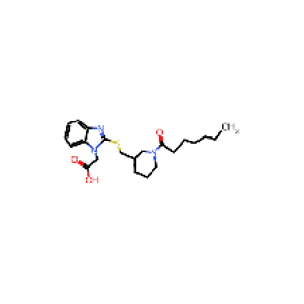 CCCCCCC(=O)N1CCCC(CSc2nc3ccccc3n2CC(=O)O)C1